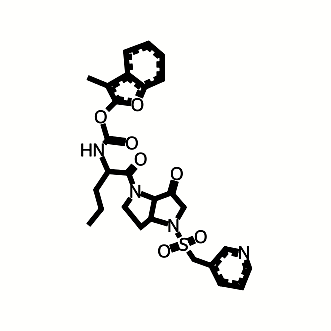 CCCC(NC(=O)Oc1oc2ccccc2c1C)C(=O)N1CCC2C1C(=O)CN2S(=O)(=O)Cc1cccnc1